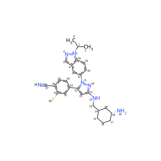 CC(C)n1ncc2cc(-n3nc(NCC4CCC[C@@H](N)C4)cc3-c3ccc(C#N)c(F)c3)ccc21